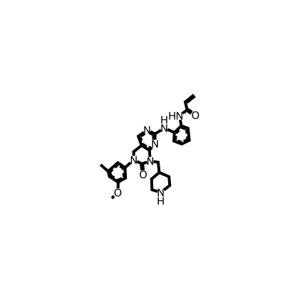 C=CC(=O)Nc1ccccc1Nc1ncc2c(n1)N(CC1CCNCC1)C(=O)N(c1cc(C)cc(OC)c1)C2